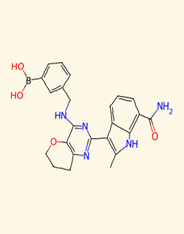 Cc1[nH]c2c(C(N)=O)cccc2c1-c1nc2c(c(NCc3cccc(B(O)O)c3)n1)OCCC2